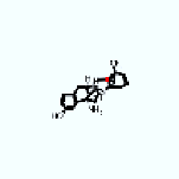 N[C@]12CCN(CC3CC3)[C@H](Cc3ccc(O)cc31)[C@H]2NSc1cccc(C(F)(F)F)c1